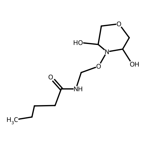 CCCCC(=O)NCON1C(O)COCC1O